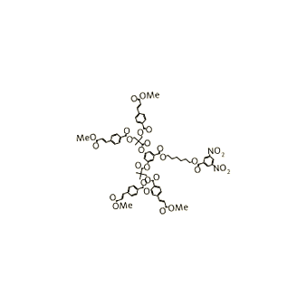 COC(=O)/C=C/c1ccc(C(=O)OCC(C)(COC(=O)c2ccc(/C=C/C(=O)OC)cc2)C(=O)Oc2cc(OC(=O)C(C)(COC(=O)c3ccc(/C=C/C(=O)OC)cc3)COC(=O)c3ccc(/C=C/C(=O)OC)cc3)cc(C(=O)OCCCCCCOC(=O)c3cc([N+](=O)[O-])cc([N+](=O)[O-])c3)c2)cc1